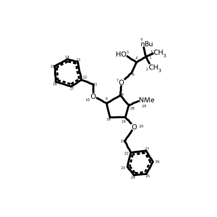 CCCCC(C)(C)C(O)COC1C(OCc2ccccc2)CC(OCc2ccccc2)C1NC